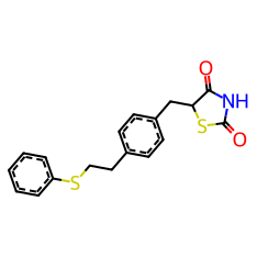 O=C1NC(=O)C(Cc2ccc(CCSc3ccccc3)cc2)S1